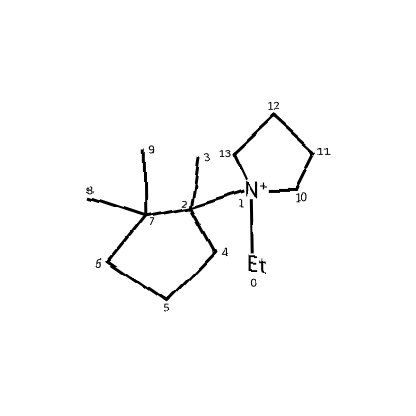 CC[N+]1(C2(C)CCCC2(C)C)CCCC1